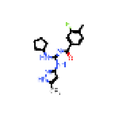 Cc1ccc(C(=O)/N=C(\Nc2cc(C(F)(F)F)[nH]n2)NC2CCCC2)cc1F